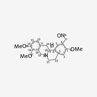 COc1cc2c(cc1CN=O)[C@@H]1Cc3ccc(OC)c(OC)c3CN1CC2